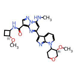 CNc1cc(-c2cnc3n(C4CCOC[C@@H]4OC)cccc2-3)nc2c(C(=O)NC3CC[C@@H]3OC)cnn12